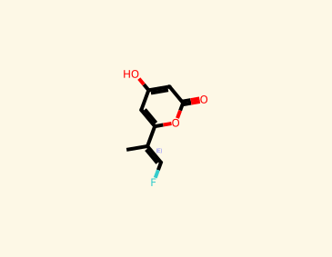 C/C(=C\F)c1cc(O)cc(=O)o1